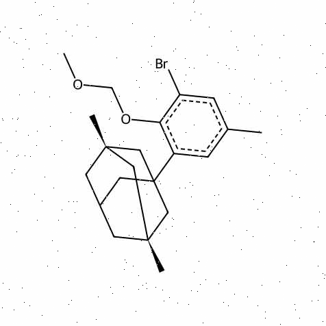 COCOc1c(Br)cc(C)cc1C12CC3C[C@@](C)(C1)C[C@](C)(C3)C2